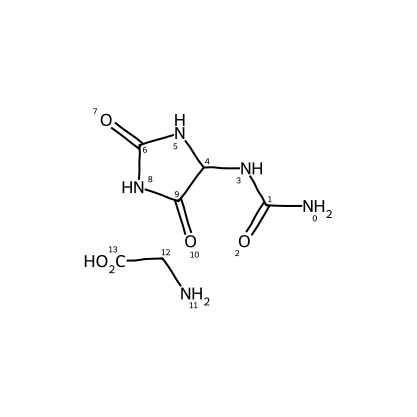 NC(=O)NC1NC(=O)NC1=O.NCC(=O)O